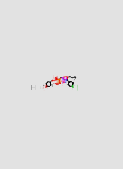 CCCCc1oc(CC(C(=O)OCc2ccc(OC)cc2)P(=O)(OCC)OCC)nc1-c1ccc(Cl)cc1